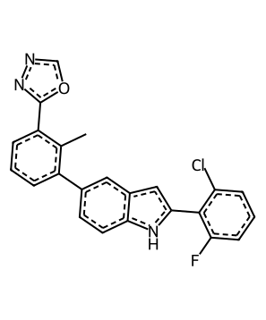 Cc1c(-c2ccc3[nH]c(-c4c(F)cccc4Cl)cc3c2)cccc1-c1nnco1